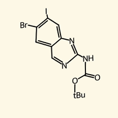 CC(C)(C)OC(=O)Nc1ncc2cc(Br)c(I)cc2n1